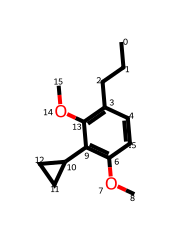 CCCc1c[c]c(OC)c(C2CC2)c1OC